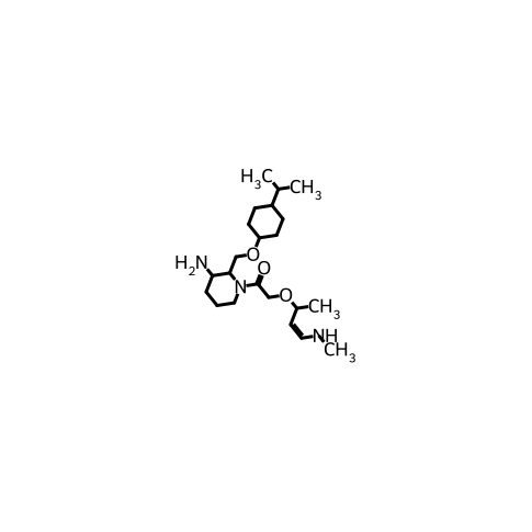 CN/C=C\C(C)OCC(=O)N1CCCC(N)C1COC1CCC(C(C)C)CC1